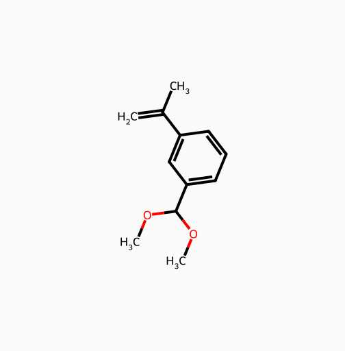 C=C(C)c1cccc(C(OC)OC)c1